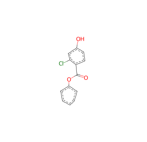 O=C(Oc1ccccc1)c1ccc(O)cc1Cl